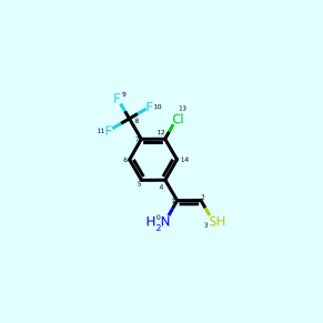 N/C(=C\S)c1ccc(C(F)(F)F)c(Cl)c1